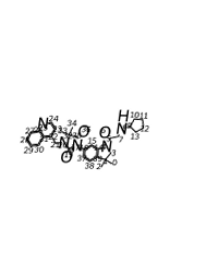 CC1(C)CN(C(=O)CNC2CCCC2)c2cc(N3C(=O)N(Cc4ccnc5ccccc45)C(C)(C)C3=O)ccc21